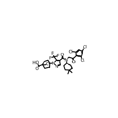 CC1(C)CCC(N(CC(=O)c2c(Cl)cc(Cl)cc2Cl)C(=O)c2cnn(C34CCC(C(=O)O)(CC3)CC4)c2C(F)(F)F)CC1